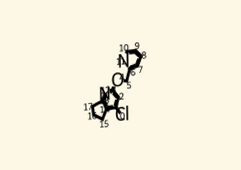 Clc1cc(OCc2ccccn2)nc2c1CCC2